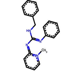 Cn1ccccc1=NC(=Nc1ccccc1)NCc1ccccc1